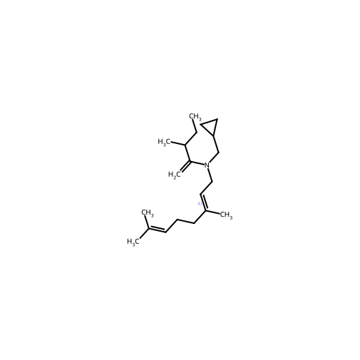 C=C(C(C)CC)N(C/C=C(\C)CCC=C(C)C)CC1CC1